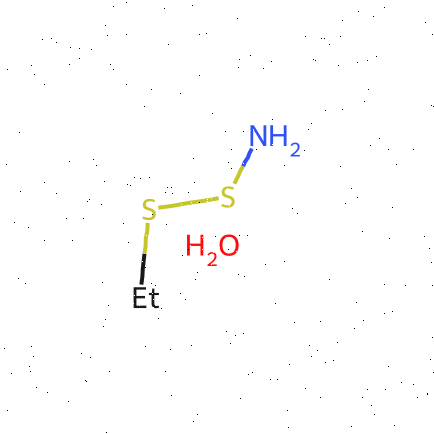 CCSSN.O